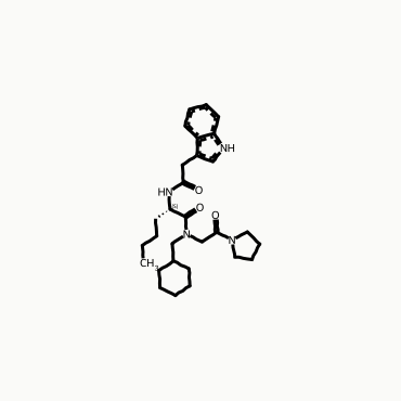 CCCC[C@H](NC(=O)Cc1c[nH]c2ccccc12)C(=O)N(CC(=O)N1CCCC1)CC1CCCCC1